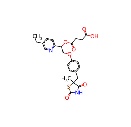 CCc1ccc([C@H](COc2ccc(CC3(C)SC(=O)NC3=O)cc2)OC(=O)CCC(=O)O)nc1